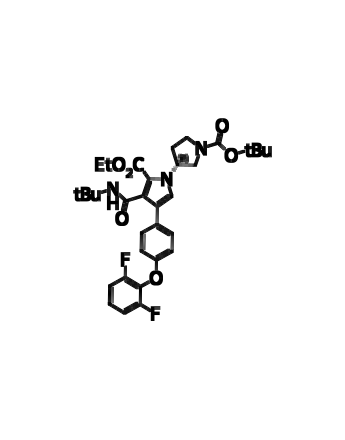 CCOC(=O)c1c(C(=O)NC(C)(C)C)c(-c2ccc(Oc3c(F)cccc3F)cc2)cn1[C@@H]1CCN(C(=O)OC(C)(C)C)C1